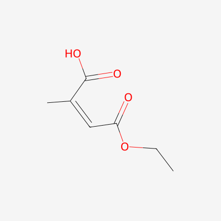 CCOC(=O)/C=C(/C)C(=O)O